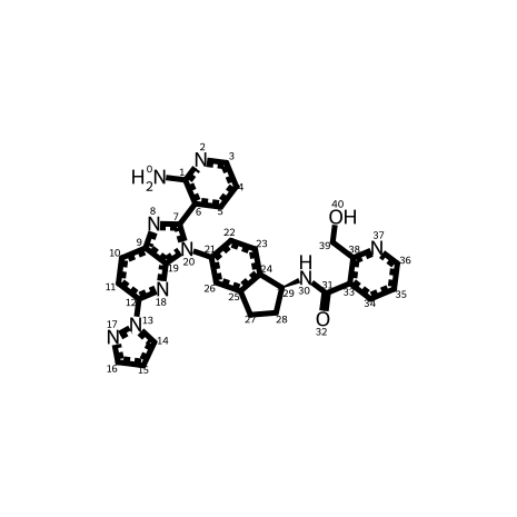 Nc1ncccc1-c1nc2ccc(-n3cccn3)nc2n1-c1ccc2c(c1)CC[C@@H]2NC(=O)c1cccnc1CO